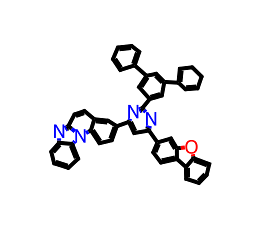 C1=CC(c2cc(-c3ccccc3)cc(-c3nc(-c4ccc5c(ccc6nc7ccccc7n65)c4)cc(-c4ccc5c(c4)oc4ccccc45)n3)c2)=CCC1